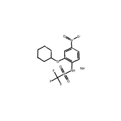 O=[N+]([O-])c1ccc(NS(=O)(=O)C(F)(F)F)c(OC2CCCCC2)c1.[Na]